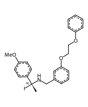 COc1ccc([C@@](C)(I)NCc2cccc(OCCOc3ccccc3)c2)cc1